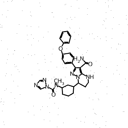 CN(C(=O)n1cncn1)C1CCCC(C2CCNc3c(C(N)=O)c(-c4ccc(Oc5ccccc5)cc4)nn32)C1